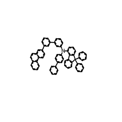 c1ccc(-c2ccc(N(c3cccc(-c4cccc(-c5ccc6c(ccc7ccccc76)c5)c4)c3)c3cccc4c3-c3ccccc3C4(c3ccccc3)c3ccccc3)cc2)cc1